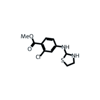 COC(=O)c1ccc(NC2NCCS2)cc1Cl